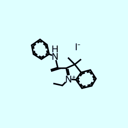 C=C(Nc1ccccc1)C1=[N+](CC)c2ccccc2C1(C)C.[I-]